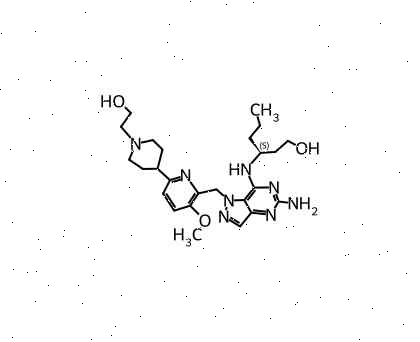 CCC[C@@H](CCO)Nc1nc(N)nc2cnn(Cc3nc(C4CCN(CCO)CC4)ccc3OC)c12